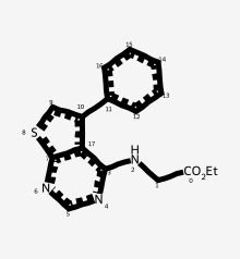 CCOC(=O)CNc1ncnc2scc(-c3ccccc3)c12